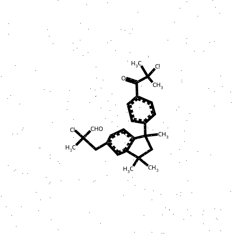 CC(Cl)(C=O)Cc1ccc2c(c1)C(C)(C)CC2(C)c1ccc(C(=O)C(C)(C)Cl)cc1